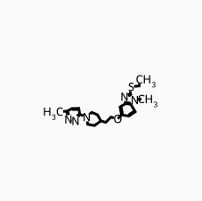 CCSc1nc2cc(OCCC3CCN(c4ccc(C)nn4)CC3)ccc2n1C